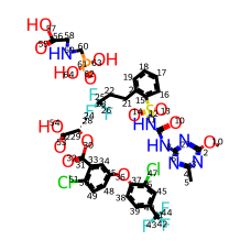 COc1nc(C)nc(NC(=O)NS(=O)(=O)c2ccccc2CCC(F)(F)F)n1.C[C@H](OC(=O)c1cc(Oc2ccc(C(F)(F)F)cc2Cl)ccc1Cl)C(=O)O.O=C(O)CNCP(=O)(O)O